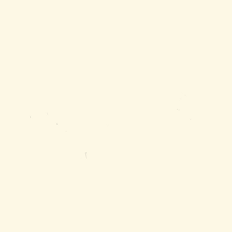 CCC(CC)(c1ccc(C(=O)OC)cc1)c1ccc(OC(C)(C)C(=O)C(C)C)c(Cl)c1